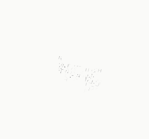 CCc1c(F)ccc2cc(O)cc(-c3ncc4c(N5CCC[C@@](C)(O)C5)nc(OCC5(CN(C)Cc6cc(F)c(CC)c7c(-c8ncc9c(N%10CCCCCC%10)nc(OCC%10%11CCCN%10CCC%11)nc9c8F)cc(O)cc67)CC5)nc4c3F)c12